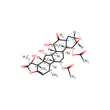 CC(=O)O[C@H]1C[C@H]2[C@H]([C@@H]3[C@@H](O)[C@@H]4[C@H]([C@H](C)C=C5OC(=O)[C@@](C)(O)[C@@]54C)[C@]31C)[C@@H](O)C(=O)[C@H]1C[C@@H]3O[C@@H]3[C@H](OC(C)=O)[C@@]12C